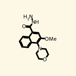 COc1cc(C(=O)NN)c2ccccc2c1N1CCOCC1